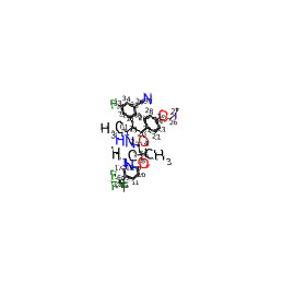 CC(NC(=O)C(C)(C)Oc1ccc(C(F)(F)F)cn1)C(Cc1ccc(OCI)cc1)c1cc(F)cc(C#N)c1